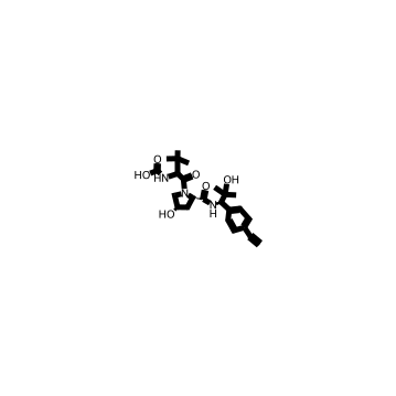 C#Cc1ccc([C@@H](NC(=O)[C@@H]2C[C@@H](O)CN2C(=O)C(NC(=O)O)C(C)(C)C)C(C)(C)O)cc1